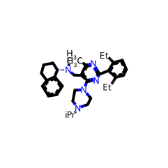 CCc1cccc(CC)c1-c1nc(C)c(CN(C)[C@H]2CCCc3ccccc32)c(N2CCN(C(C)C)CC2)n1